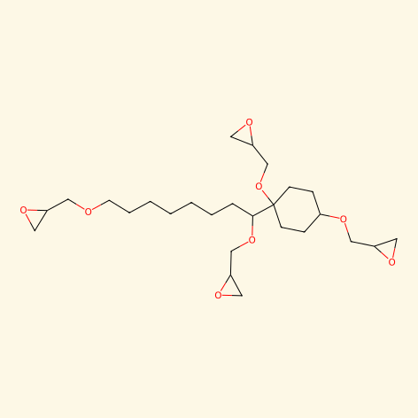 C(CCCOCC1CO1)CCCC(OCC1CO1)C1(OCC2CO2)CCC(OCC2CO2)CC1